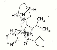 Cc1nnc(C(C)C)n1[C@@H]1C[C@H]2CC[C@@H](C1)N2CC[C@H](NC(=O)C1CCCC1)c1cccnc1